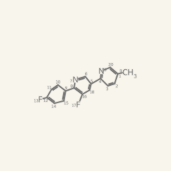 Cc1ccc(-c2cnc(-c3ccc(F)cc3)c(F)c2)nc1